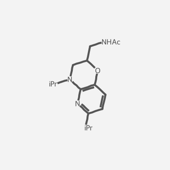 CC(=O)NCC1CN(C(C)C)c2nc(C(C)C)ccc2O1